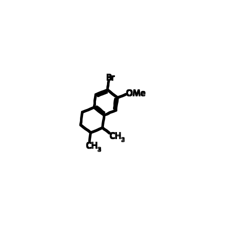 COc1cc2c(cc1Br)CCC(C)C2C